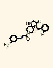 O=C(/C=C/c1cccc(C(F)(F)F)c1)N1CCC2(CC1)NCC(=O)N2Cc1ccccc1F